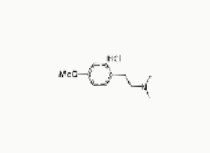 COc1ccc(CCN(C)C)cc1.Cl